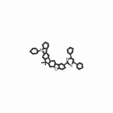 CC1(C)c2cc3oc4ccc(-c5nc(-c6ccccc6)cc(-c6ccccc6)n5)cc4c3cc2-c2cc3c4ccccc4n(-c4ccccc4)c3cc21